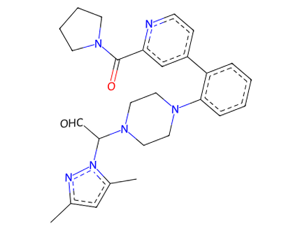 Cc1cc(C)n(C(C=O)N2CCN(c3ccccc3-c3ccnc(C(=O)N4CCCC4)c3)CC2)n1